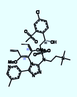 C=C/C(OC)=C(\C(=C/C)OC)n1c(-c2cncc(C)c2)nnc1N(CC[Si](C)(C)C)S(=O)(=O)C[C@@H](O)c1ccc(Cl)cc1S(C)(=O)=O